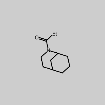 CCC(=O)N1CCC2CCCC1C2